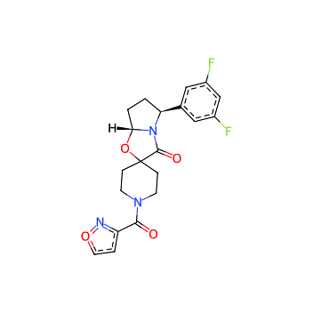 O=C(c1ccon1)N1CCC2(CC1)O[C@@H]1CC[C@@H](c3cc(F)cc(F)c3)N1C2=O